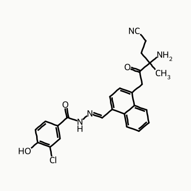 CC(N)(CCC#N)C(=O)Cc1ccc(/C=N/NC(=O)c2ccc(O)c(Cl)c2)c2ccccc12